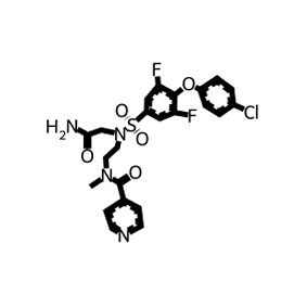 CN(CCN(CC(N)=O)S(=O)(=O)c1cc(F)c(Oc2ccc(Cl)cc2)c(F)c1)C(=O)c1ccncc1